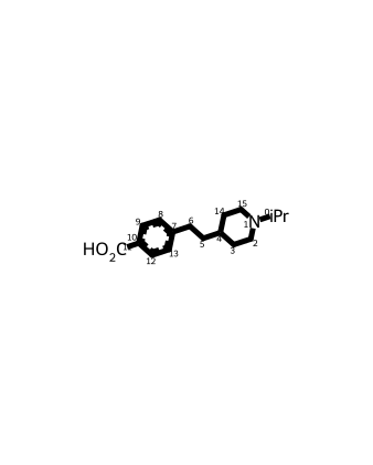 CC(C)N1CCC(CCc2ccc(C(=O)O)cc2)CC1